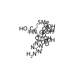 CSCC[C@H](NC[C@H]1O[C@@H](n2cnc3c(N)ncnc32)[C@H](OP(=O)(O)O)[C@@H]1OP(=O)(O)OP(=O)(O)O)C(=O)O